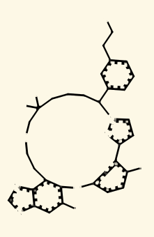 CC1(C)CCCC(c2cccc(CCC(=O)O)c2)n2ccc(n2)-c2cc(ccc2F)Oc2c(F)cc3[nH]cnc3c2CCSC1